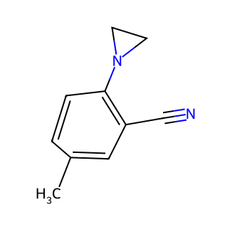 Cc1ccc(N2CC2)c(C#N)c1